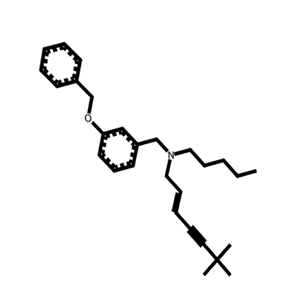 CCCCCN(CC=CC#CC(C)(C)C)Cc1cccc(OCc2ccccc2)c1